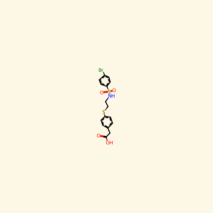 O=C(O)Cc1ccc(SCCNS(=O)(=O)c2ccc(Br)cc2)cc1